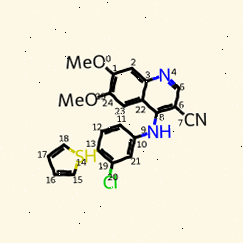 COc1cc2ncc(C#N)c(Nc3ccc([SH]4C=CC=C4)c(Cl)c3)c2cc1OC